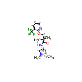 C[C@H]1C[C@@H](NC(=O)C(C)(C)COc2ncccc2C(F)(F)F)CN1C